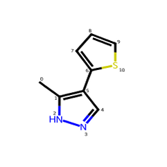 Cc1[nH]ncc1-c1cccs1